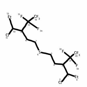 CCC(Cl)C(CCSCCC(C(Cl)CC)C(F)(F)C(F)(F)F)C(F)(F)C(F)(F)F